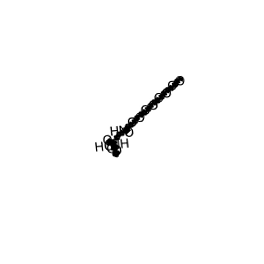 COCCOCCOCCOCCOCCOCCOCCOCCC(=O)NCCCC[C@H](NC(=O)OC(C)(C)C)C(=O)O